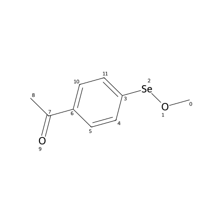 CO[Se]c1ccc(C(C)=O)cc1